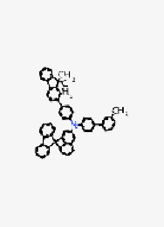 Cc1cccc(-c2ccc(N(c3ccc(-c4ccc5c(c4)C(C)(C)c4ccccc4-5)cc3)c3cc4c5c(cccc5c3)C43c4ccccc4-c4ccccc43)cc2)c1